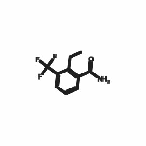 CCc1c(C(N)=O)cccc1C(F)(F)F